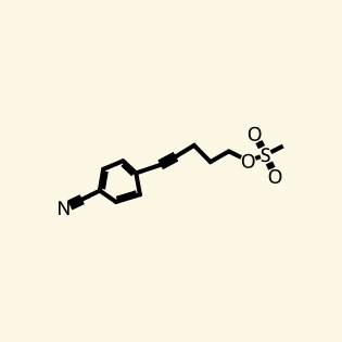 CS(=O)(=O)OCCCC#Cc1ccc(C#N)cc1